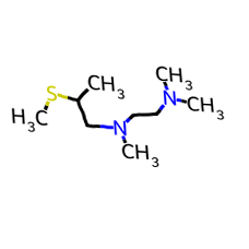 CSC(C)CN(C)CCN(C)C